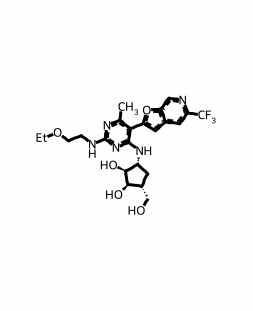 CCOCCNc1nc(C)c(-c2cc3cc(C(F)(F)F)ncc3o2)c(N[C@@H]2C[C@H](CO)[C@@H](O)[C@H]2O)n1